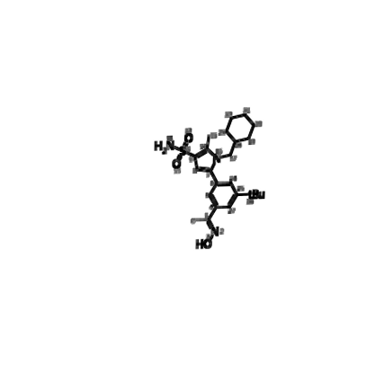 CC(=NO)c1cc(-c2cc(S(N)(=O)=O)c(C)n2CC2CCCCC2)cc(C(C)(C)C)c1